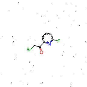 O=C(CBr)c1cccc(F)n1